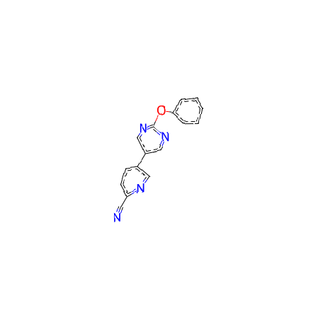 N#Cc1ccc(-c2cnc(Oc3ccccc3)nc2)cn1